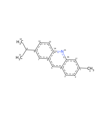 Cc1ccc2cc3cc(C(C)C)ccc3nc2c1